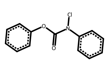 O=C(Oc1ccccc1)N(Cl)c1ccccc1